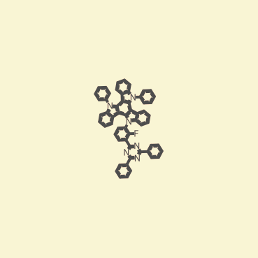 Fc1c(-c2nc(-c3ccccc3)nc(-c3ccccc3)n2)cccc1-n1c2ccccc2c2c3c(c4ccccc4n3-c3ccccc3)c3c(c4ccccc4n3-c3ccccc3)c21